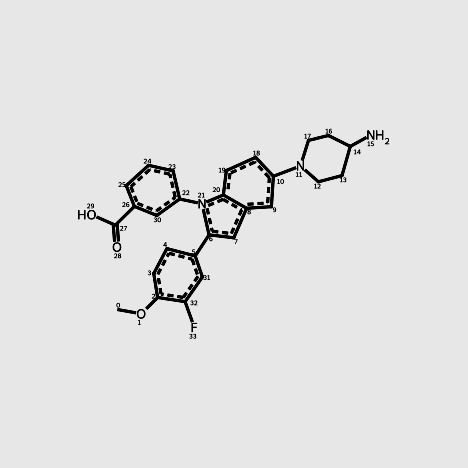 COc1ccc(-c2cc3cc(N4CCC(N)CC4)ccc3n2-c2cccc(C(=O)O)c2)cc1F